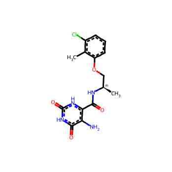 Cc1c(Cl)cccc1OC[C@@H](C)NC(=O)c1[nH]c(=O)[nH]c(=O)c1N